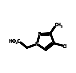 Cc1nn(CC(=O)O)cc1Cl